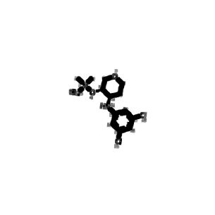 CC(C)(C)[Si](C)(C)O[C@@H]1COCC[C@H]1Nc1cc(Cl)cc(Cl)c1